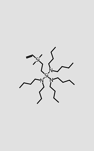 C=C[Si](C)(C)CC[Si](N(CCCC)CCCC)(N(CCCC)CCCC)N(CCCC)CCCC